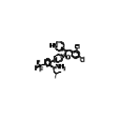 CC(C)CC(N)c1cc(C(F)(F)F)ccc1N1CCN(C(=O)C(Cc2ccc(Cl)cc2Cl)N2CCCNCC2)CC1